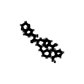 Nc1cscc1NC(=O)c1ccc(CN(CCCN2CCOCC2)C(=O)Nc2ccc3c(c2)OCCO3)cn1